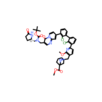 COC(=O)C12CCC(CC1)N(Cc1ccc(-c3cccc(-c4cccc(-c5ccn6c(=O)c(CN(C[C@@H]7CCC(=O)N7)C(=O)OC(C)(C)C)cnc6c5)c4Cl)c3Cl)nc1OC)C2